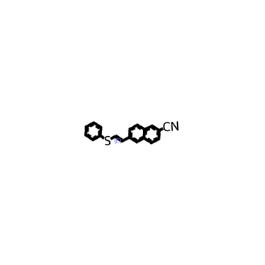 N#Cc1ccc2cc(/C=C/Sc3ccccc3)ccc2c1